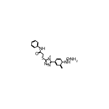 C=C1C=C(c2nnc(SCC(=O)Nc3ccccc3)n2C)C=CC1NON